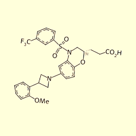 COc1ccccc1C1CN(c2ccc3c(c2)N(S(=O)(=O)c2cccc(C(F)(F)F)c2)C[C@H](CCC(=O)O)O3)C1